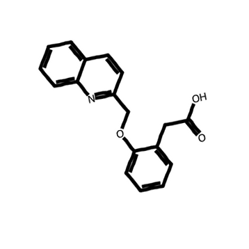 O=C(O)Cc1ccccc1OCc1ccc2ccccc2n1